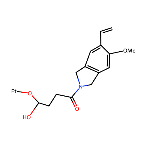 C=Cc1cc2c(cc1OC)CN(C(=O)CCC(O)OCC)C2